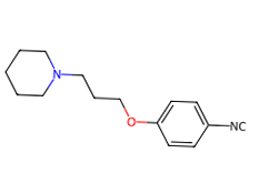 [C-]#[N+]c1ccc(OCCCN2CCCCC2)cc1